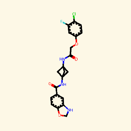 O=C(COc1ccc(Cl)c(F)c1)NC12CC(NC(=O)c3ccc4c(c3)NCO4)(C1)C2